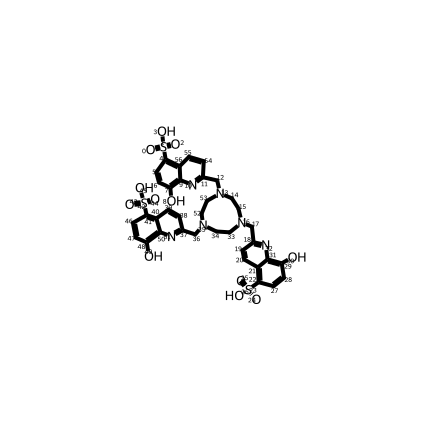 O=S(=O)(O)c1ccc(O)c2nc(CN3CCN(Cc4ccc5c(S(=O)(=O)O)ccc(O)c5n4)CCN(Cc4ccc5c(S(=O)(=O)O)ccc(O)c5n4)CC3)ccc12